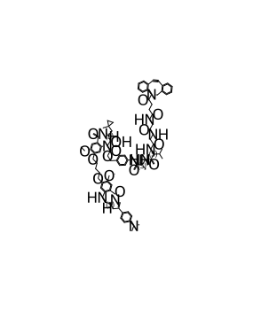 COc1cc2c(cc1OCCCOc1cc3c(cc1OC)C(=O)N1CC4(CC4)C[C@H]1C(O)N3C(=O)OCc1ccc(NC(=O)[C@H](C)NC(=O)[C@@H](NC(=O)CNC(=O)CNC(=O)CCC(=O)N3Cc4ccccc4C#Cc4ccccc43)C(C)C)cc1)NC[C@@H]1CC(c3ccc(N(C)C)cc3)=CN1C2=O